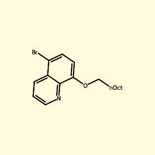 CCCCCCCCCOc1ccc(Br)c2cccnc12